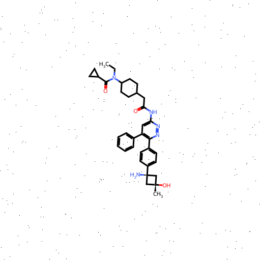 CCN(C(=O)C1CC1)C1CCC(CC(=O)Nc2cc(-c3ccccc3)c(-c3ccc([C@]4(N)C[C@](C)(O)C4)cc3)nn2)CC1